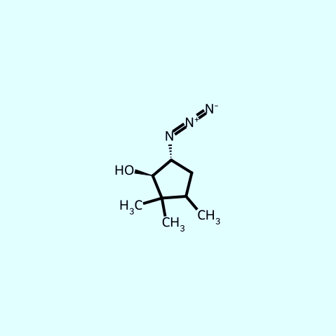 CC1C[C@@H](N=[N+]=[N-])[C@H](O)C1(C)C